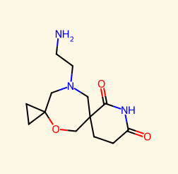 NCCN1CC2(CC2)OCC2(CCC(=O)NC2=O)C1